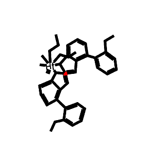 [CH2]=[Hf]([CH3])([CH3])([CH2]CC)([CH2]CC)([CH]1C=Cc2c(-c3ccccc3CC)cccc21)[CH]1C=Cc2c(-c3ccccc3CC)cccc21